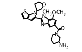 COc1cc(C(=O)N2CCCC(N)C2)cc2nc(-c3cc4ccsc4n3C3CCOC3)n(C)c12